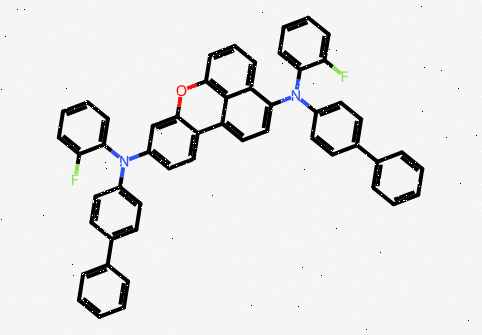 Fc1ccccc1N(c1ccc(-c2ccccc2)cc1)c1ccc2c(c1)Oc1cccc3c(N(c4ccc(-c5ccccc5)cc4)c4ccccc4F)ccc-2c13